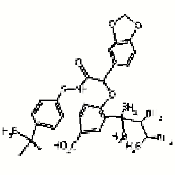 BC(B)C(B)C(B)(B)c1cc(C(=O)O)ccc1OC(C(=O)NSc1ccc(C(B)(C)C)cc1)c1ccc2c(c1)OCO2